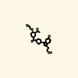 CNC1CN(C(=O)N2CCC(c3cn(CCO)c4ccc(Cl)cc34)CC2)CC[C@@H]1OCC=O